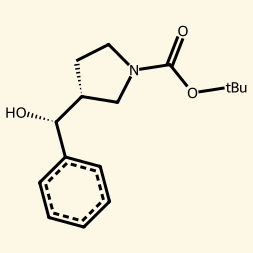 CC(C)(C)OC(=O)N1CC[C@@H]([C@@H](O)c2ccccc2)C1